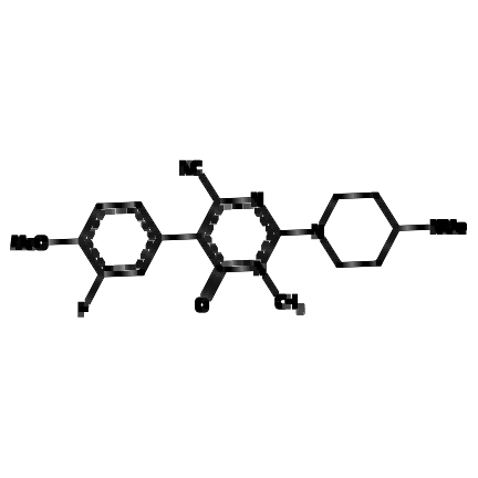 CNC1CCN(c2nc(C#N)c(-c3ccc(OC)c(F)c3)c(=O)n2C)CC1